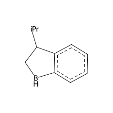 CC(C)C1CBc2ccccc21